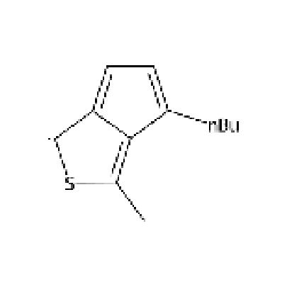 CCCCC1=CC=C2[CH]SC(C)=C21